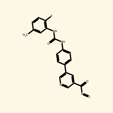 Cc1ccc(F)c(NC(=O)Nc2ccc(-c3cncc(C(=O)N=S)c3)cc2)c1